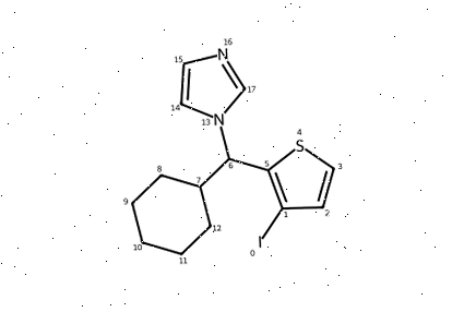 Ic1ccsc1C(C1CCCCC1)n1ccnc1